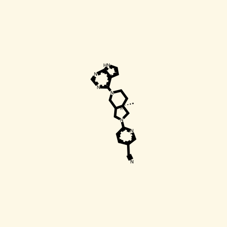 C[C@@]12CCN(c3ncnc4[nH]ccc34)CC1CN(c1ccc(C#N)cn1)C2